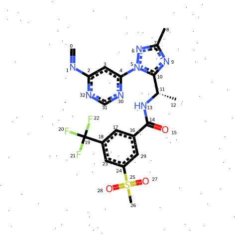 C=Nc1cc(-n2nc(C)nc2[C@H](C)NC(=O)c2cc(C(F)(F)F)cc(S(C)(=O)=O)c2)ncn1